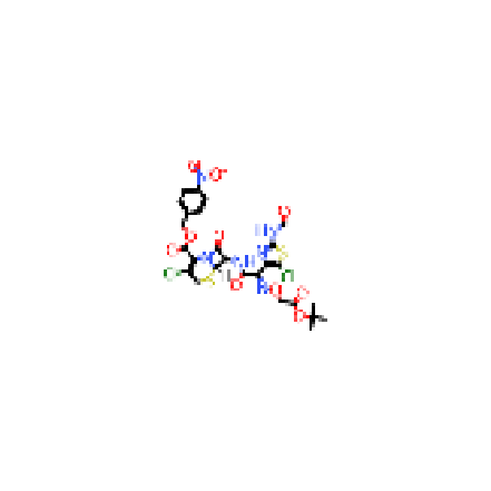 CC(C)(C)OC(=O)CO/N=C(/C(=O)NC1C(=O)N2C(C(=O)OCc3ccc([N+](=O)[O-])cc3)=C(Cl)CS[C@H]12)c1nc(NC=O)sc1Cl